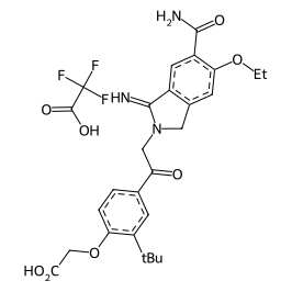 CCOc1cc2c(cc1C(N)=O)C(=N)N(CC(=O)c1ccc(OCC(=O)O)c(C(C)(C)C)c1)C2.O=C(O)C(F)(F)F